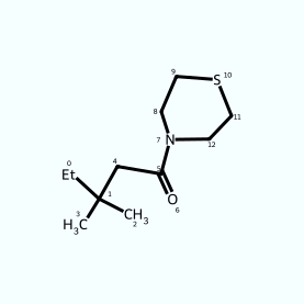 CCC(C)(C)CC(=O)N1CCSCC1